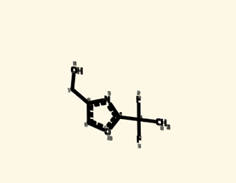 CC(F)(F)c1nc(CO)co1